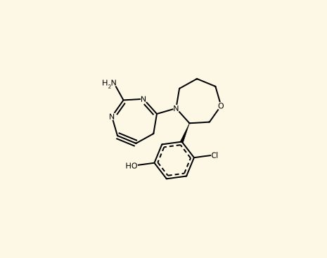 NC1=NC#CCC(N2CCCOC[C@H]2c2cc(O)ccc2Cl)=N1